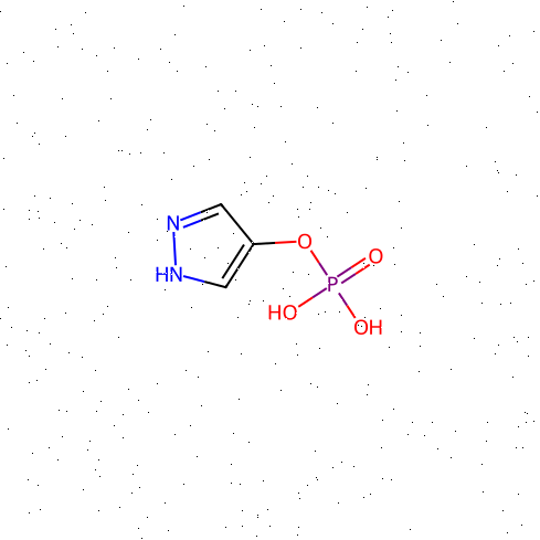 O=P(O)(O)Oc1cn[nH]c1